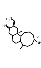 CC1CC[C@](C)(O)CCCC2C1CCC1CC(=N)/C(=C\N)C[C@@]12C